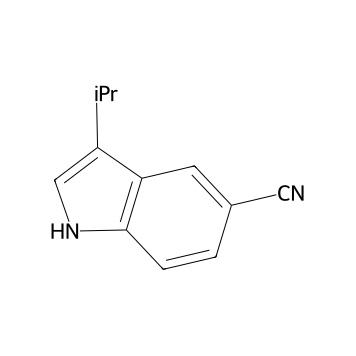 CC(C)c1c[nH]c2ccc(C#N)cc12